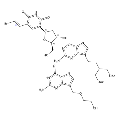 CC(=O)OCC(CCn1cnc2cnc(N)nc21)COC(C)=O.Nc1nc2c(ncn2COCCO)c(=O)[nH]1.O=c1[nH]c(=O)n([C@H]2C[C@H](O)[C@@H](CO)O2)cc1/C=C/Br